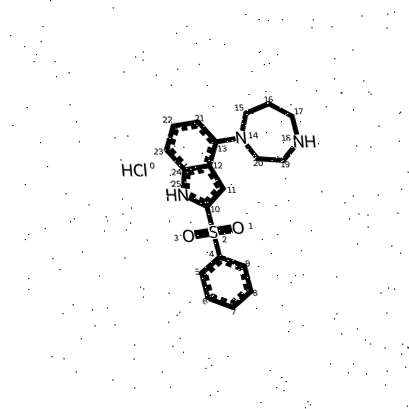 Cl.O=S(=O)(c1ccccc1)c1cc2c(N3CCCNCC3)cccc2[nH]1